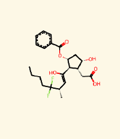 CCCCC(F)(F)[C@@H](C)C=C(O)[C@@H]1[C@@H](CC(=O)O)[C@@H](O)C[C@H]1OC(=O)c1ccccc1